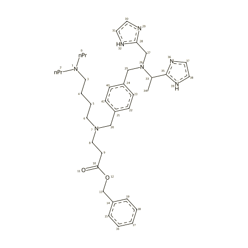 CCCN(CCC)CCCCN(CCC(=O)OCc1ccccc1)Cc1ccc(CN(Cc2ncc[nH]2)C(C)c2ncc[nH]2)cc1